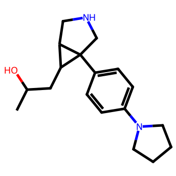 CC(O)CC1C2CNCC21c1ccc(N2CCCC2)cc1